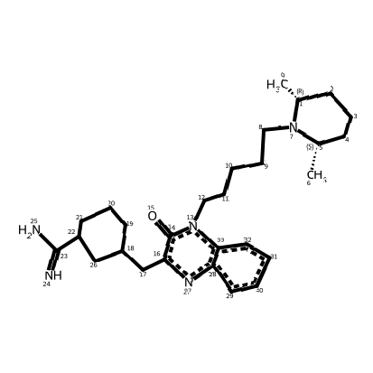 C[C@@H]1CCC[C@H](C)N1CCCCCn1c(=O)c(CC2CCCC(C(=N)N)C2)nc2ccccc21